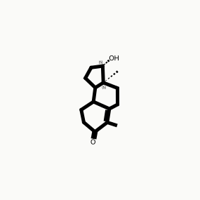 CC1=C2CC[C@@]3(C)C(CC[C@@H]3O)C2CCC1=O